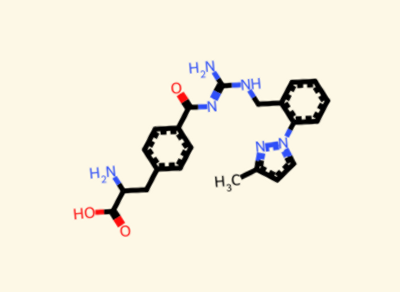 Cc1ccn(-c2ccccc2CNC(N)=NC(=O)c2ccc(CC(N)C(=O)O)cc2)n1